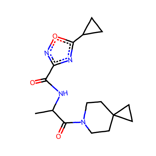 CC(NC(=O)c1noc(C2CC2)n1)C(=O)N1CCC2(CC1)CC2